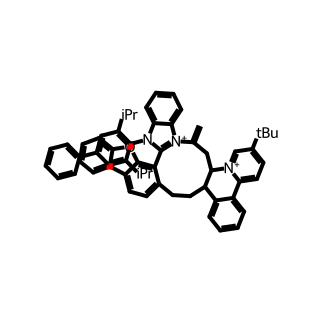 C=C1CC2C(CCc3ccc4c(oc5ccccc54)c3-c3n(-c4c(C(C)C)cc(-c5ccccc5)cc4C(C)C)c4ccccc4[n+]31)c1ccccc1-c1ccc(C(C)(C)C)c[n+]12